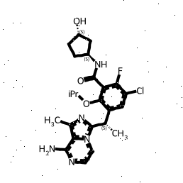 Cc1nc([C@@H](C)c2cc(Cl)c(F)c(C(=O)N[C@H]3CC[C@H](O)C3)c2OC(C)C)n2ccnc(N)c12